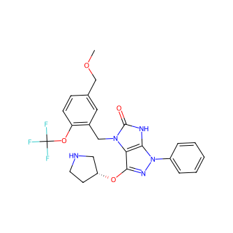 COCc1ccc(OC(F)(F)F)c(Cn2c(=O)[nH]c3c2c(O[C@@H]2CCNC2)nn3-c2ccccc2)c1